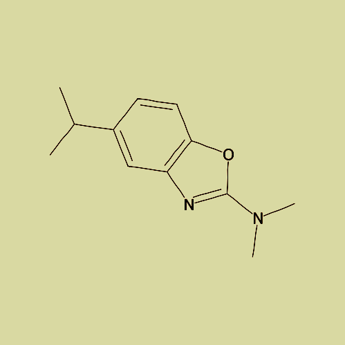 CC(C)c1ccc2oc(N(C)C)nc2c1